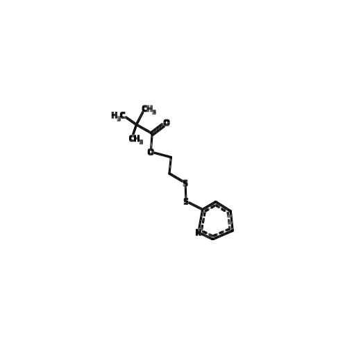 CC(C)(C)C(=O)OCCSSc1ccccn1